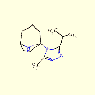 Cc1nnc(C(C)C)n1C12CCCC(CC1)N2